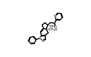 C[C@]12Cc3cnn(-c4ccccc4)c3C=C1CC[C@@]2(O)CC(O)c1ccccn1